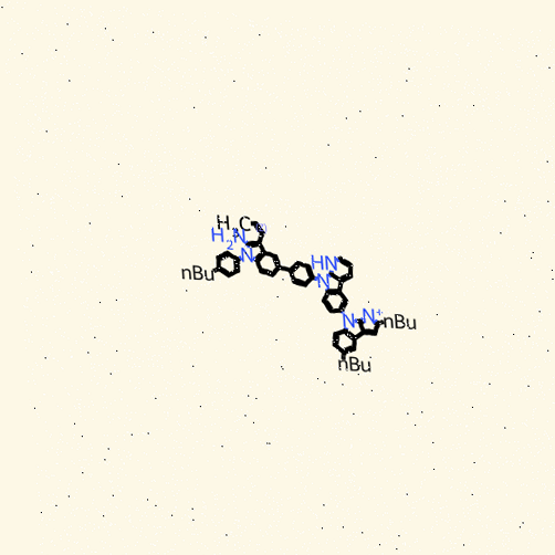 C/C=C\c1c(N)n(-c2ccc(CCCC)cc2)c2ccc(-c3ccc(N4c5ccc(-n6c7c(c8cc(CCCC)ccc86)=CC(CCCC)=[N+]=7)cc5C5=CC=CNC54)cc3)cc12